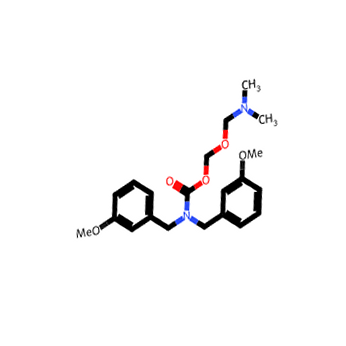 COc1cccc(CN(Cc2cccc(OC)c2)C(=O)OCOCN(C)C)c1